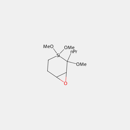 CCCC1(OC)C2OC2CC[Si]1(OC)OC